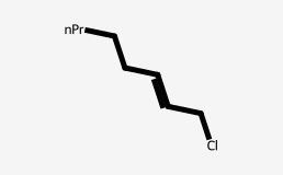 CCCCC/C=C/CCl